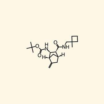 C=C1C[C@@H]2C[C@H]1[C@@H](NC(=O)OC(C)(C)C)[C@H]2C(=O)NCC1(C)CCC1